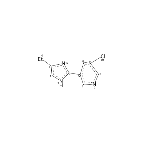 CCc1c[nH]c(-c2cncc(Cl)c2)n1